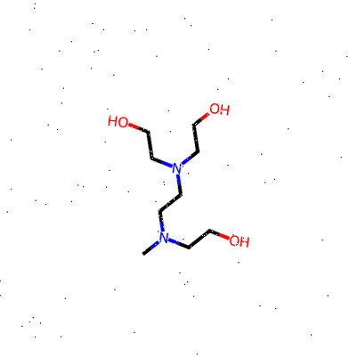 CN(CCO)CCN(CCO)CCO